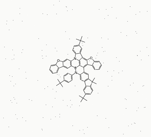 CC(C)(C)c1ccc(N2B3c4cc5c(cc4-n4c6ccc(C(C)(C)C)cc6c6c7oc8ccccc8c7c(c3c64)-c3cc4c(cc32)-c2cc(C(C)(C)C)ccc2C4(C)C)oc2ccccc25)cc1